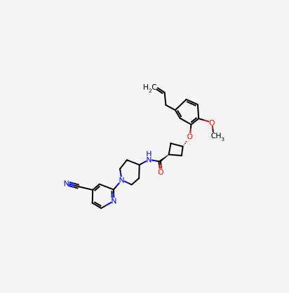 C=CCc1ccc(OC)c(O[C@H]2C[C@H](C(=O)NC3CCN(c4cc(C#N)ccn4)CC3)C2)c1